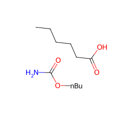 CCCCCC(=O)O.CCCCOC(N)=O